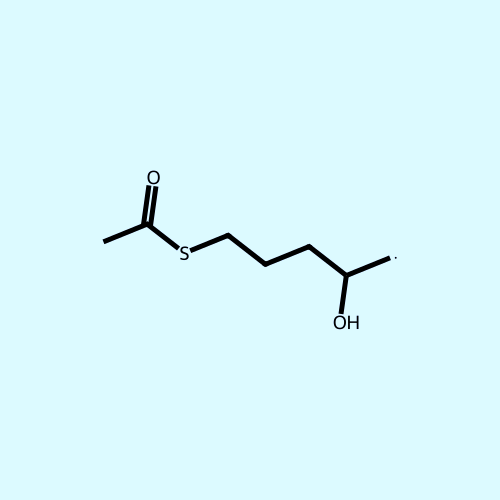 [CH2]C(O)CCCSC(C)=O